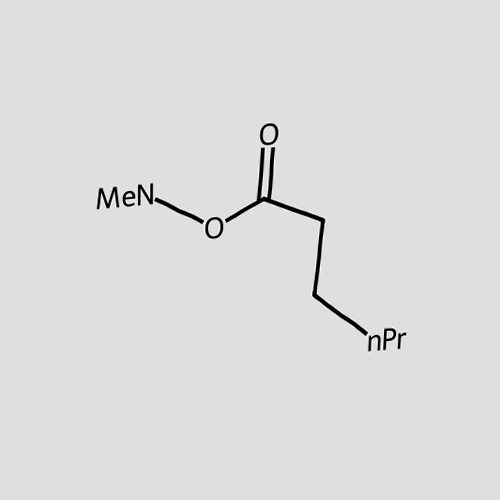 CCCCCC(=O)ONC